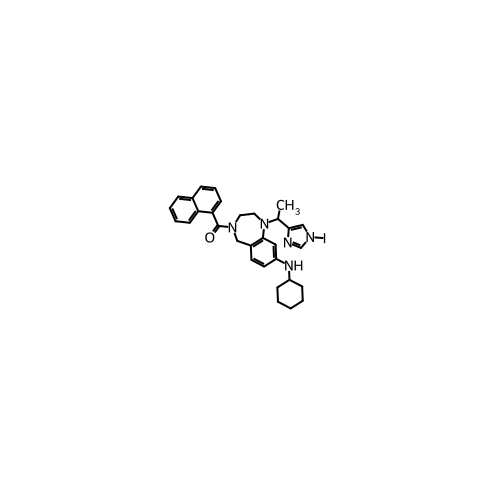 CC(c1cn(I)cn1)N1CCN(C(=O)c2cccc3ccccc23)Cc2ccc(NC3CCCCC3)cc21